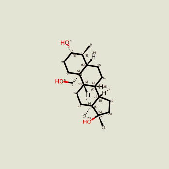 C[C@@H]1[C@@H](O)CC[C@@]2(CO)[C@H]1CC[C@@H]1[C@@H]2CC[C@@]2(C)[C@H]1CC[C@]2(C)O